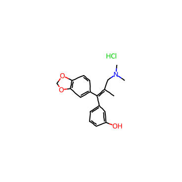 C/C(CN(C)C)=C(\c1cccc(O)c1)c1ccc2c(c1)OCO2.Cl